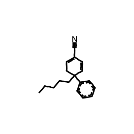 CCCCCC1(c2ccccc2)C=CC(C#N)=CC1